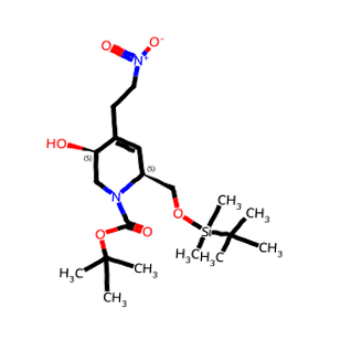 CC(C)(C)OC(=O)N1C[C@@H](O)C(CC[N+](=O)[O-])=C[C@H]1CO[Si](C)(C)C(C)(C)C